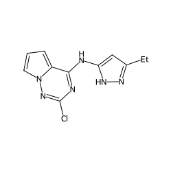 CCc1cc(Nc2nc(Cl)nn3cccc23)[nH]n1